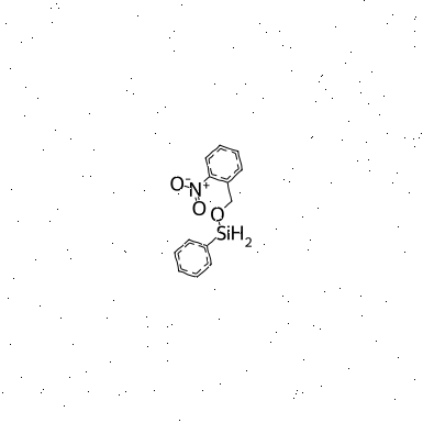 O=[N+]([O-])c1ccccc1CO[SiH2]c1ccccc1